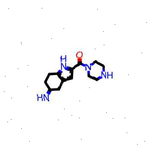 N=C1CCc2[nH]c(C(=O)N3CCNCC3)cc2C1